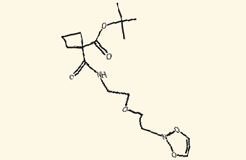 CC(C)(C)OC(=O)C1(C(=O)NCCOCCN2OC=CO2)CCC1